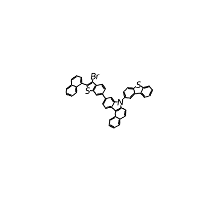 Brc1c(-c2cccc3ccccc23)sc2cc(-c3ccc4c5c6ccccc6ccc5n(-c5ccc6sc7ccccc7c6c5)c4c3)ccc12